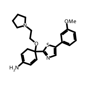 COc1cccc(-c2cnc(C3(OCCN4CCCC4)C=CC(N)=CC3)s2)c1